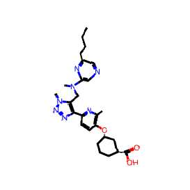 CCCCc1cncc(N(C)Cc2c(-c3ccc(O[C@H]4CCC[C@H](C(=O)O)C4)c(C)n3)nnn2C)n1